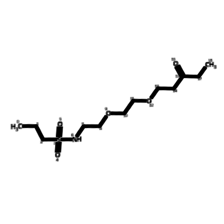 CCCS(=O)(=O)NCCOCCOCCC(=O)CC